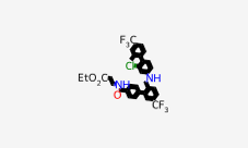 CCOC(=O)CCNC(=O)c1ccc(-c2cc(C(F)(F)F)ccc2CNc2ccc(-c3ccc(C(F)(F)F)cc3C)c(Cl)c2)cc1